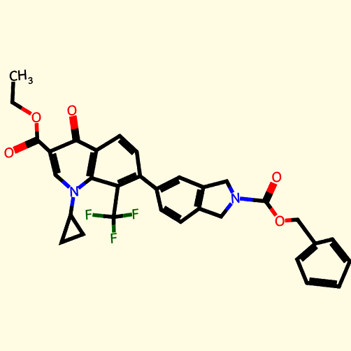 CCOC(=O)c1cn(C2CC2)c2c(C(F)(F)F)c(-c3ccc4c(c3)CN(C(=O)OCc3ccccc3)C4)ccc2c1=O